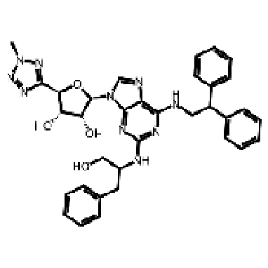 Cn1nnc([C@H]2O[C@@H](n3cnc4c(NCC(c5ccccc5)c5ccccc5)nc(NC(CO)Cc5ccccc5)nc43)[C@H](O)[C@@H]2O)n1